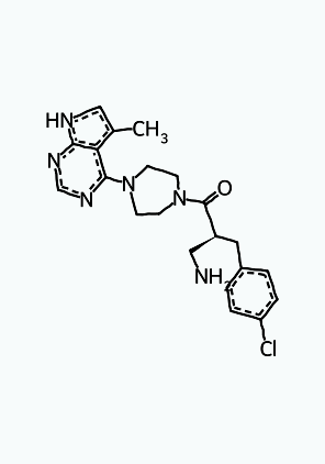 Cc1c[nH]c2ncnc(N3CCN(C(=O)[C@H](CN)Cc4ccc(Cl)cc4)CC3)c12